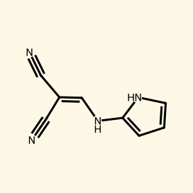 N#CC(C#N)=CNc1ccc[nH]1